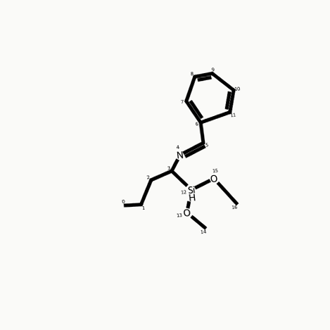 CCCC(N=Cc1ccccc1)[SiH](OC)OC